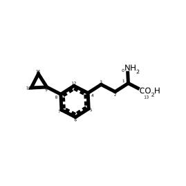 NC(CCc1cccc(C2CC2)c1)C(=O)O